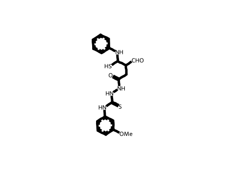 COc1cccc(NC(=S)NNC(=O)CC(C=O)C(S)Nc2ccccc2)c1